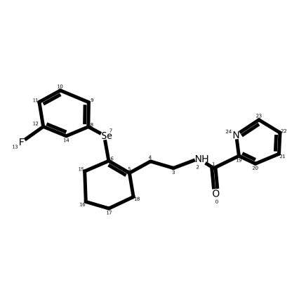 O=C(NCCC1=C([Se]c2cccc(F)c2)CCCC1)c1ccccn1